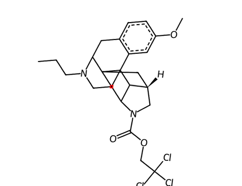 CCCN1CCC23c4cc(OC)ccc4CC1C21CCC2C3[C@@H](CN2C(=O)OCC(Cl)(Cl)Cl)C1